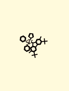 Cc1cc2c(cc1C(C)(C)C)-c1cc(C(C)(C)C)c(C)cc1[CH]2[Zr]([CH]1C=CC=C1)=[Si](c1ccccc1)c1ccccc1